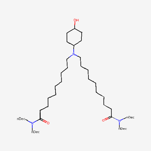 CCCCCCCCCCN(CCCCCCCCCC)C(=O)CCCCCCCCCN(CCCCCCCCCC(=O)N(CCCCCCCCCC)CCCCCCCCCC)C1CCC(O)CC1